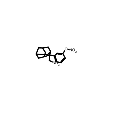 NCC1(c2cccc(O[N+](=O)[O-])c2)C2CC3CC(C2)CC1C3